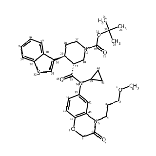 COCCCN1C(=O)COc2ccc(N(C(=O)[C@H]3CN(C(=O)OC(C)(C)C)CC[C@@H]3c3csc4ccccc34)C3CC3)cc21